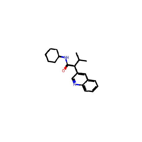 CC(C)C(C(=O)NC1CCCCC1)c1cnc2ccccc2c1